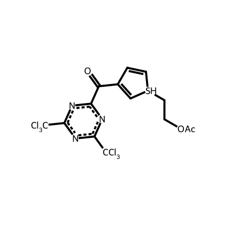 CC(=O)OCC[SH]1C=CC(C(=O)c2nc(C(Cl)(Cl)Cl)nc(C(Cl)(Cl)Cl)n2)=C1